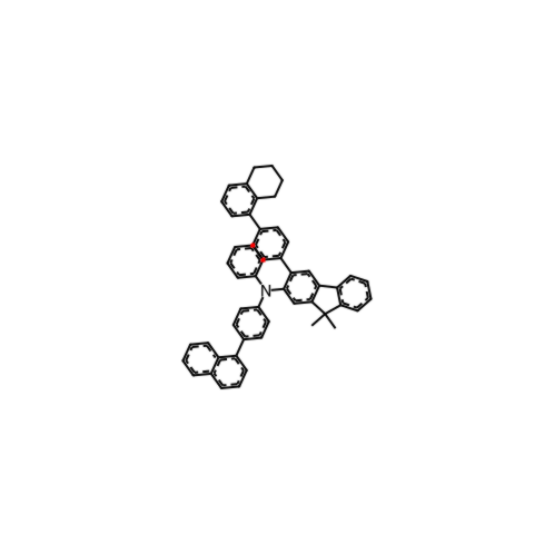 CC1(C)c2ccccc2-c2cc(-c3ccc(-c4cccc5c4CCCC5)cc3)c(N(c3ccccc3)c3ccc(-c4cccc5ccccc45)cc3)cc21